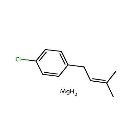 CC(C)=CCc1ccc(Cl)cc1.[MgH2]